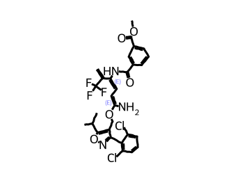 C=C(/C(=C\C=C(/N)OCc1c(-c2c(Cl)cccc2Cl)noc1C(C)C)NC(=O)c1cccc(C(=O)OC)c1)C(F)(F)F